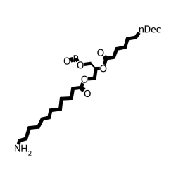 CCCCCCCCCCCCCCCC(=O)O[C@H](COP=O)COC(=O)CCCCCCCCCCCN